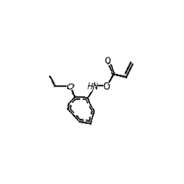 C=CC(=O)ONc1ccccc1OCC